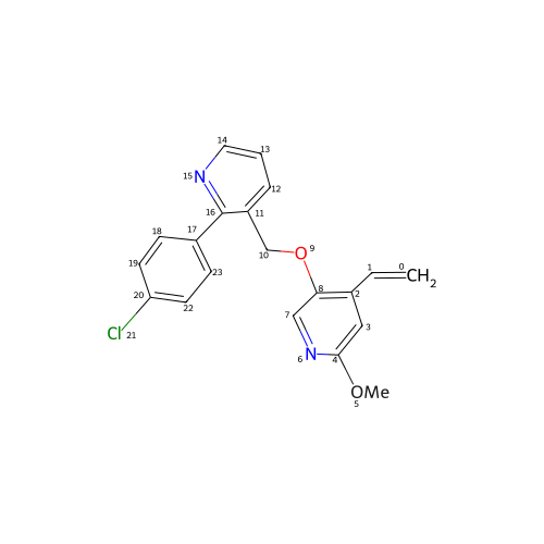 C=Cc1cc(OC)ncc1OCc1cccnc1-c1ccc(Cl)cc1